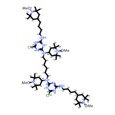 CON1C(C)(C)CC(CCCCNc2nc(Cl)nc(N(CCCCCCN(c3nc(Cl)nc(NCCCCC4CC(C)(C)N(OC)C(C)(C)C4)n3)C3CC(C)(C)N(OC)C(C)(C)C3)C3CC(C)(C)N(OC)C(C)(C)C3)n2)CC1(C)C